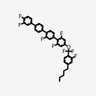 CCCCCc1ccc(C(F)(F)Oc2cc(F)c(-c3ccc(-c4ccc(-c5ccc(F)c(F)c5)cc4)c(F)c3)c(F)c2)c(F)c1